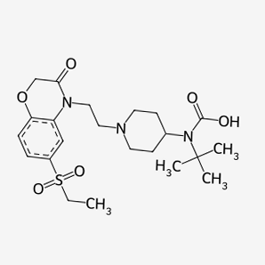 CCS(=O)(=O)c1ccc2c(c1)N(CCN1CCC(N(C(=O)O)C(C)(C)C)CC1)C(=O)CO2